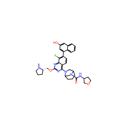 CN1CCC[C@H]1COc1nc(N2CC3CCCC2CN3C(=O)NC2CCOC2)c2ccc(-c3cc(O)cc4ccccc34)c(F)c2n1